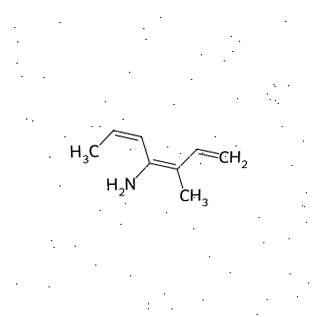 C=C/C(C)=C(N)\C=C/C